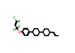 C/C=C/C1CCC(C2CCC(c3ccc(OC(F)(F)C=C(F)F)cc3)CC2)CC1